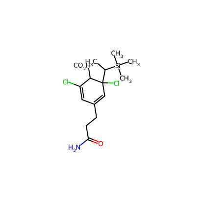 CC(C1(Cl)C=C(CCC(N)=O)C=C(Cl)C1C(=O)O)[Si](C)(C)C